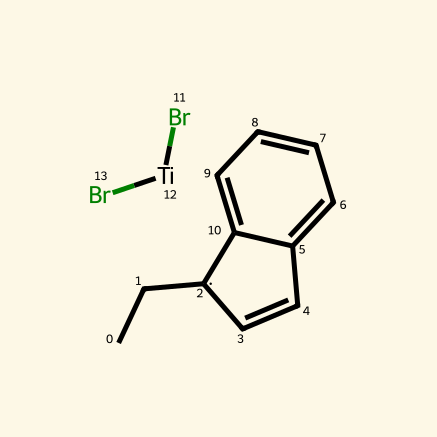 CC[C]1C=Cc2ccccc21.[Br][Ti][Br]